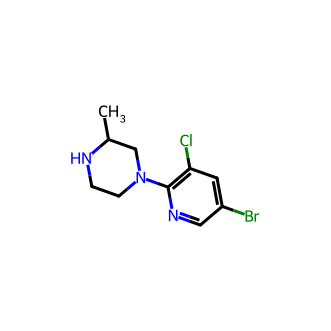 CC1CN(c2ncc(Br)cc2Cl)CCN1